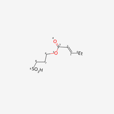 CCC=CC(=O)OCCCS(=O)(=O)O